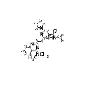 CN(C)c1nc(C=Cc2nc(C(=O)NC3CC3)cc(N3CCCC3)n2)nc2ccccc12